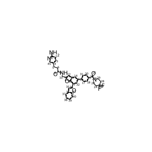 Nc1ccc(CCC(=O)NCc2cc3cc(-c4ccc(C(=O)N5CCC(F)(F)CC5)cc4)cc(-c4cc5ccccc5o4)c3o2)cn1